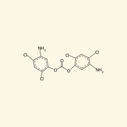 Nc1cc(OC(=O)Oc2cc(N)c(Cl)cc2Cl)c(Cl)cc1Cl